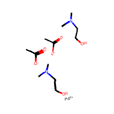 CC(=O)[O-].CC(=O)[O-].CN(C)CCO.CN(C)CCO.[Pd+2]